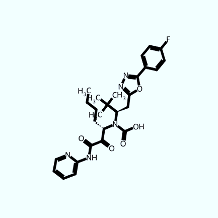 CCCC[C@@H](C(=O)C(=O)Nc1ccccn1)N(C(=O)O)[C@H](Cc1nnc(-c2ccc(F)cc2)o1)C(C)(C)C